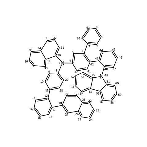 c1ccc(-c2cc(N(c3ccc(-c4ccccc4-c4ccc5ccccc5c4)cc3)c3cccc4ccccc34)ccc2-c2ccccc2-n2c3ccccc3c3ccccc32)cc1